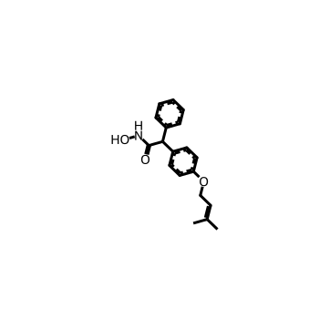 CC(C)=CCOc1ccc(C(C(=O)NO)c2ccccc2)cc1